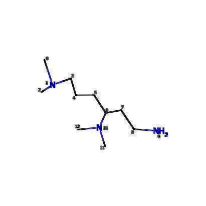 CN(C)CCCC(CCN)N(C)C